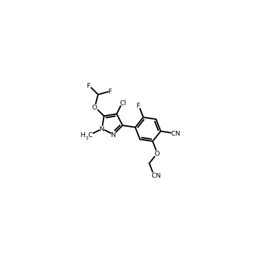 Cn1nc(-c2cc(OCC#N)c(C#N)cc2F)c(Cl)c1OC(F)F